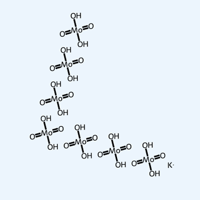 [K].[O]=[Mo](=[O])([OH])[OH].[O]=[Mo](=[O])([OH])[OH].[O]=[Mo](=[O])([OH])[OH].[O]=[Mo](=[O])([OH])[OH].[O]=[Mo](=[O])([OH])[OH].[O]=[Mo](=[O])([OH])[OH].[O]=[Mo](=[O])([OH])[OH]